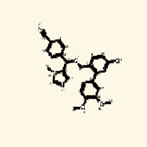 COc1ccc(-c2cc(Cl)ccc2COC(c2ccc(C#N)cc2)c2cncn2C)cc1OC